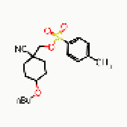 CCCCOC1CCC(C#N)(COS(=O)(=O)c2ccc(C)cc2)CC1